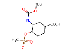 CC(C)(C)OC(=O)NC1CC(C(=O)O)CCC1OS(C)(=O)=O